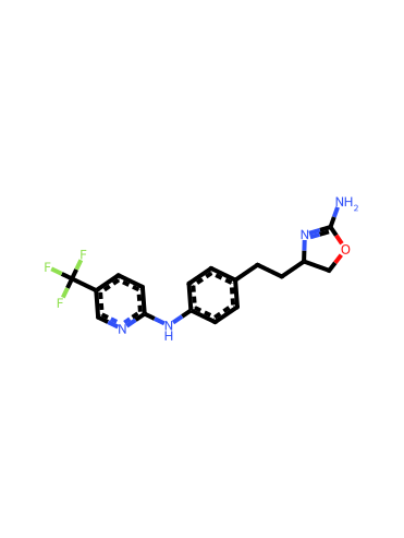 NC1=NC(CCc2ccc(Nc3ccc(C(F)(F)F)cn3)cc2)CO1